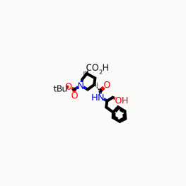 CC(C)(C)OC(=O)N1C[C@H](C(=O)O)C[C@H](C(=O)NC(CO)Cc2ccccc2)C1